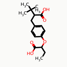 CCC(Oc1ccc(CC(C(=O)O)C(C)(C)C)cc1)C(=O)O